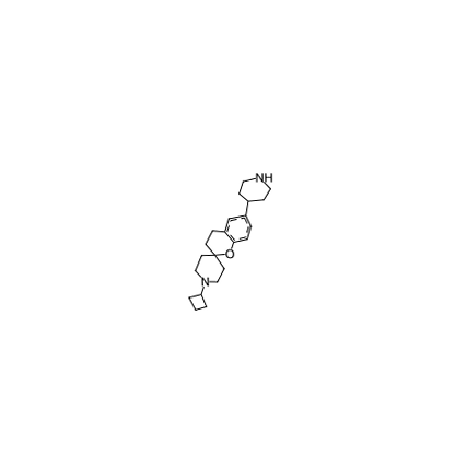 c1cc2c(cc1C1CCNCC1)CCC1(CCN(C3CCC3)CC1)O2